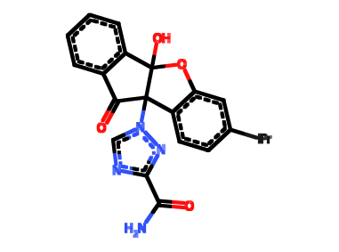 CC(C)c1ccc2c(c1)OC1(O)c3ccccc3C(=O)C21n1cnc(C(N)=O)n1